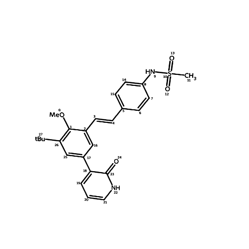 COc1c(C=Cc2ccc(NS(C)(=O)=O)cc2)cc(-c2ccc[nH]c2=O)cc1C(C)(C)C